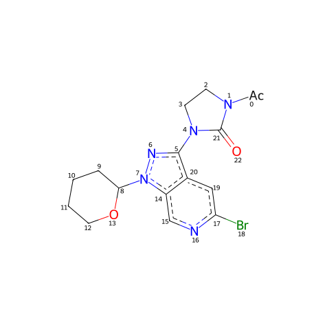 CC(=O)N1CCN(c2nn(C3CCCCO3)c3cnc(Br)cc23)C1=O